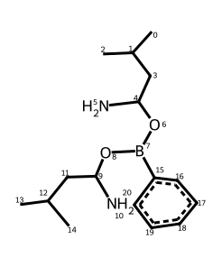 CC(C)CC(N)OB(OC(N)CC(C)C)c1ccccc1